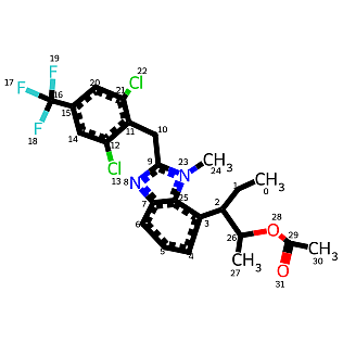 CCC(c1cccc2nc(Cc3c(Cl)cc(C(F)(F)F)cc3Cl)n(C)c12)C(C)OC(C)=O